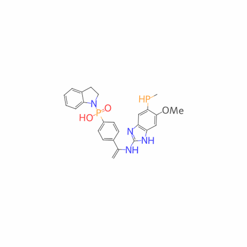 C=C(Nc1nc2cc(PC)c(OC)cc2[nH]1)c1ccc(P(=O)(O)N2CCc3ccccc32)cc1